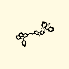 Fc1ccccc1N(c1ccc2sc3cc(/C=C/c4cc5ccc6cccc7c6c5c(c4)n7-c4ccccc4)ccc3c2c1)c1ccccn1